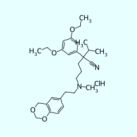 CCOc1cc(OCC)cc(C(C#N)(CCCN(C)CCc2ccc3c(c2)COCO3)C(C)C)c1.Cl